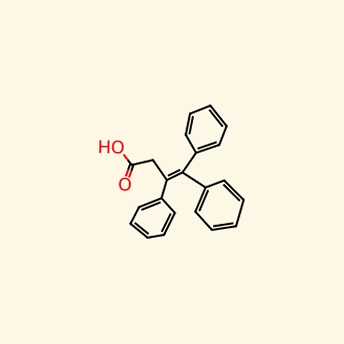 O=C(O)CC(=C(c1ccccc1)c1ccccc1)c1ccccc1